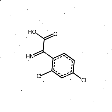 N=C(C(=O)O)c1ccc(Cl)cc1Cl